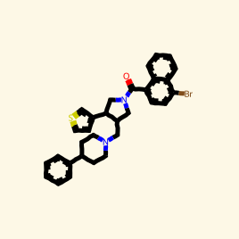 O=C(c1ccc(Br)c2ccccc12)N1CC(CN2CCC(c3ccccc3)CC2)C(c2ccsc2)C1